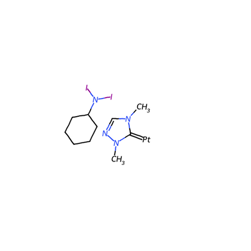 Cn1cnn(C)[c]1=[Pt].IN(I)C1CCCCC1